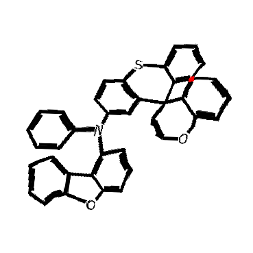 c1ccc(N(c2ccc3c(c2)C2(c4ccccc4Oc4ccccc42)c2ccccc2S3)c2cccc3oc4ccccc4c23)cc1